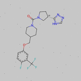 O=C(N1CCC(COc2ccc(F)c(C(F)(F)F)c2)CC1)N1CC[C@H](c2nnc[nH]2)C1